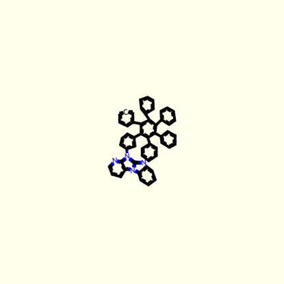 c1ccc(-c2c(-c3ccccc3)c(-c3ccccc3)c(-c3cccc(-n4c5ncccc5n5c6ccccc6nc45)c3)c(-c3ccccc3)c2-c2ccccc2)cc1